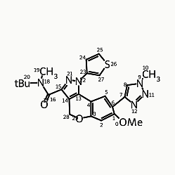 COc1cc2c(cc1-c1cn(C)nn1)-c1c(c(C(=O)N(C)C(C)(C)C)nn1-c1ccsc1)CO2